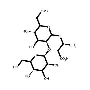 COCC1OC(O[C@@H](C)CC(=O)O)[C@@H](O[C@@H]2OC(CO)[C@@H](O)C(O)[C@@H]2O)C(O)[C@@H]1O